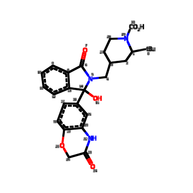 CC(C)(C)C1CC(CN2C(=O)c3ccccc3C2(O)c2ccc3c(c2)NC(=O)CO3)CCN1C(=O)O